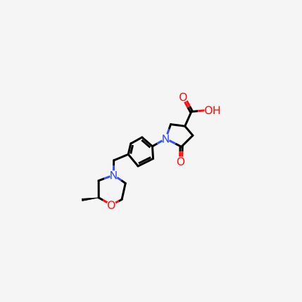 C[C@H]1CN(Cc2ccc(N3CC(C(=O)O)CC3=O)cc2)CCO1